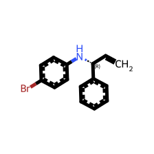 C=C[C@@H](Nc1ccc(Br)cc1)c1ccccc1